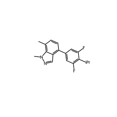 Cc1ccc(-c2cc(F)c(C(C)C)c(F)c2)c2cnn(C)c12